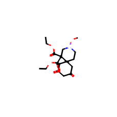 CCOC(=O)C1(C(=O)OCC)CN(OC)CCC12CC(=O)CC(=O)C2